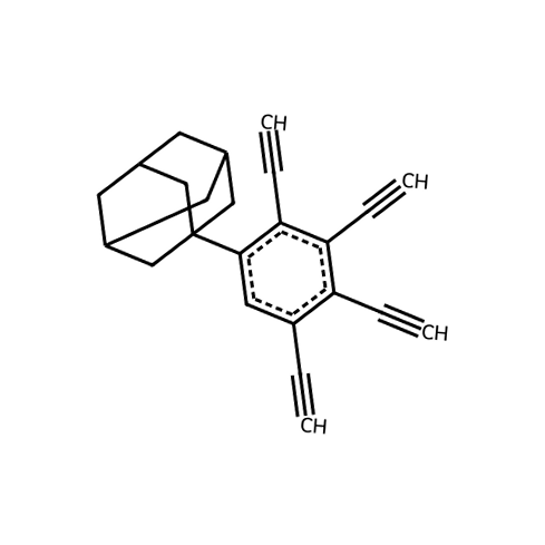 C#Cc1cc(C23CC4CC(CC(C4)C2)C3)c(C#C)c(C#C)c1C#C